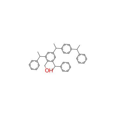 CC(c1ccccc1)c1ccc(C(C)c2cc(C(C)c3ccccc3)c(CO)c(C(C)c3ccccc3)c2)cc1